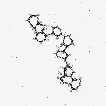 c1cc(-c2ncnc3c2oc2ccc(-c4ccc5c(ccc6ccccc65)c4)cc23)cc(-c2cccc3c2sc2ccccc23)c1